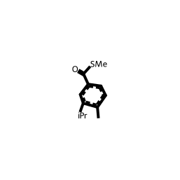 CSC(=O)c1ccc(C)c(C(C)C)c1